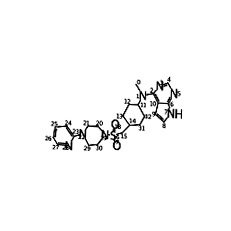 CN(c1ncnc2[nH]ccc12)C1CCC(CS(=O)(=O)N2CCN(c3ccccn3)CC2)CC1